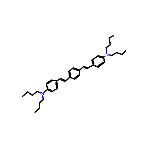 CCCCN(CCCC)c1ccc(C=Cc2ccc(C=Cc3ccc(N(CCCC)CCCC)cc3)cc2)cc1